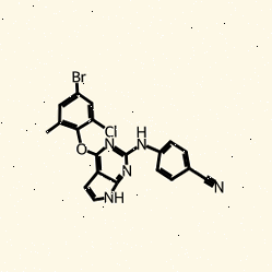 Cc1cc(Br)cc(Cl)c1Oc1nc(Nc2ccc(C#N)cc2)nc2[nH]ccc12